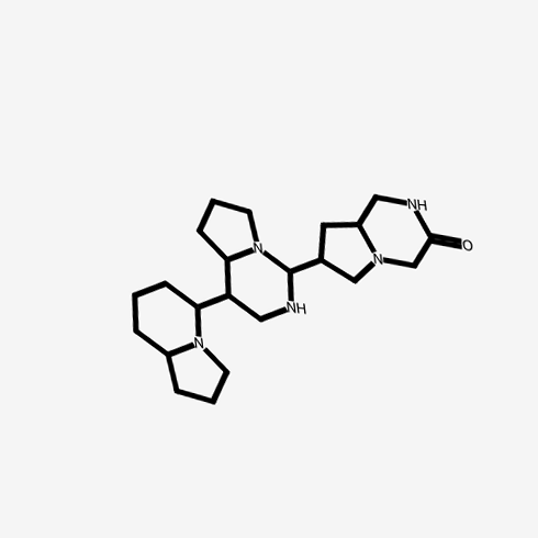 O=C1CN2CC(C3NCC(C4CCCC5CCCN54)C4CCCN43)CC2CN1